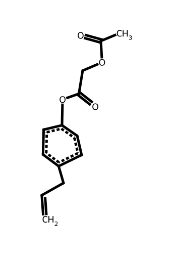 C=CCc1ccc(OC(=O)COC(C)=O)cc1